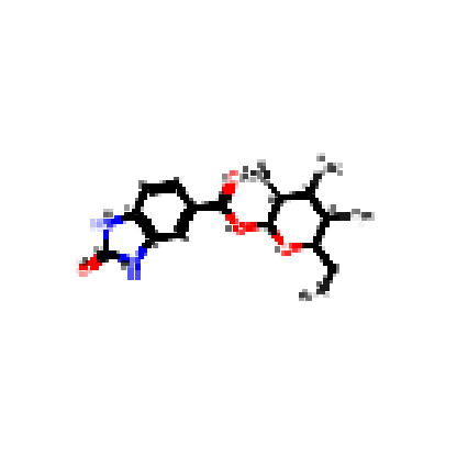 CC(=O)OCC1OC(OC(=O)c2ccc3[nH]c(=O)[nH]c3c2)[C@H](OC(C)=O)C(OC(C)=O)C1OC(C)=O